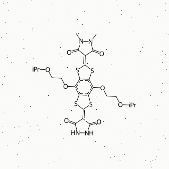 CC(C)OCCOc1c2c(c(OCCOC(C)C)c3c1SC(=C1C(=O)N(C)N(C)C1=O)S3)SC(=C1C(=O)NNC1=O)S2